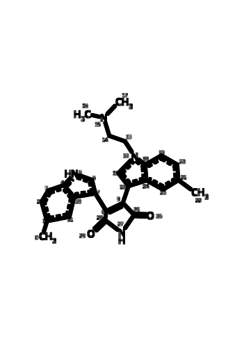 Cc1ccc2[nH]cc(C3=C(c4cn(CCN(C)C)c5ccc(C)cc45)C(=O)NC3=O)c2c1